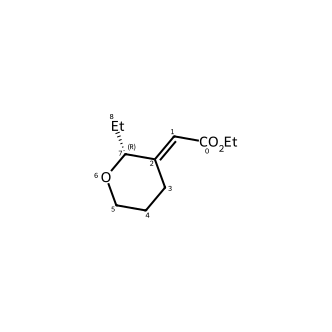 CCOC(=O)C=C1CCCO[C@@H]1CC